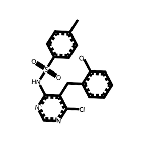 Cc1ccc(S(=O)(=O)Nc2ncnc(Cl)c2Cc2ccccc2Cl)cc1